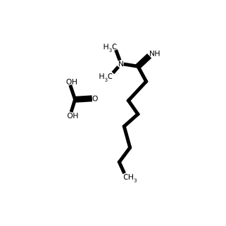 CCCCCCCC(=N)N(C)C.O=C(O)O